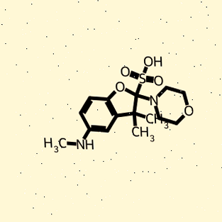 CNc1ccc2c(c1)C(C)(C)C(N1CCOCC1)(S(=O)(=O)O)O2